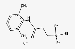 CC[N+](CC)(CC)CCC(=O)Nc1c(C)cccc1C.[Cl-]